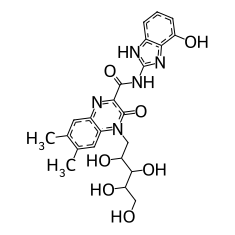 Cc1cc2nc(C(=O)Nc3nc4c(O)cccc4[nH]3)c(=O)n(CC(O)C(O)C(O)CO)c2cc1C